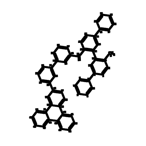 Cc1ccc(-c2ccccc2)cc1-c1cc(-c2ccccc2)ccc1Nc1cccc(-c2cccc(-c3ccc4c5ccccc5c5ccccc5c4c3)c2)c1